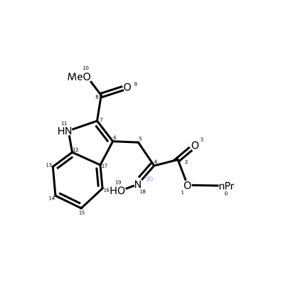 CCCOC(=O)/C(Cc1c(C(=O)OC)[nH]c2ccccc12)=N/O